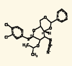 CC(C)OC1C(N=[N+]=[N-])[C@H]2OC(c3ccccc3)OCC2O[C@@H]1Sc1ccc(Cl)c(Cl)c1